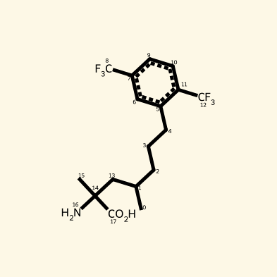 CC(CCCc1cc(C(F)(F)F)ccc1C(F)(F)F)CC(C)(N)C(=O)O